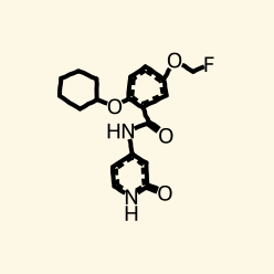 O=C(Nc1cc[nH]c(=O)c1)c1cc(OCF)ccc1OC1CCCCC1